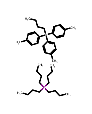 CCCC[B-](c1ccc(C)cc1)(c1ccc(C)cc1)c1ccc(C)cc1.CCCC[P+](CCCC)(CCCC)CCCC